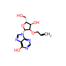 C=CCO[C@@H]1[C@H](O)[C@@H](CO)O[C@H]1n1cnc2c(O)ncnc21